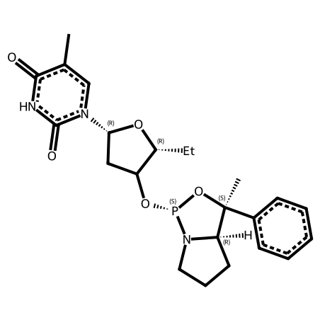 CC[C@H]1O[C@@H](n2cc(C)c(=O)[nH]c2=O)CC1O[P@]1O[C@@](C)(c2ccccc2)[C@H]2CCCN21